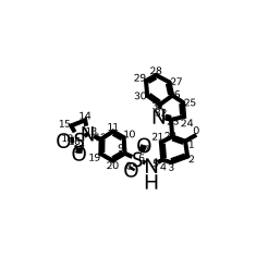 Cc1ccc(NS(=O)(=O)c2ccc(N3CCS3(=O)=O)cc2)cc1-c1ccc2ccccc2n1